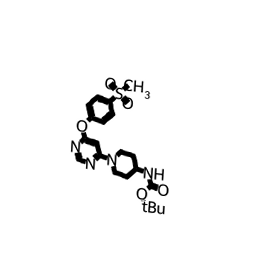 CC(C)(C)OC(=O)NC1CCN(c2cc(Oc3ccc(S(C)(=O)=O)cc3)ncn2)CC1